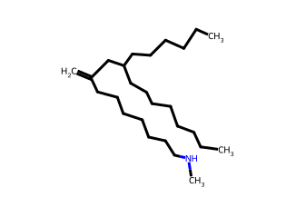 C=C(CCCCCCCNC)CC(CCCCCC)CCCCCCCC